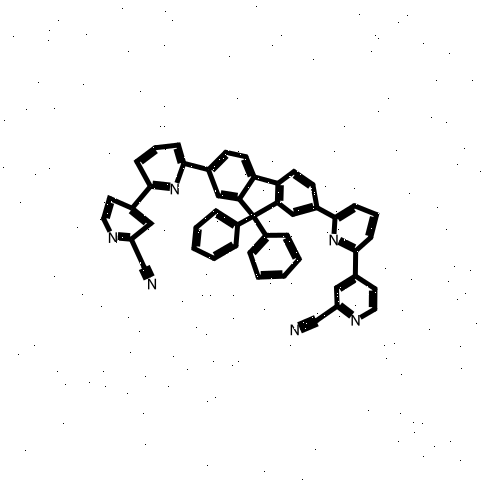 N#Cc1cc(-c2cccc(-c3ccc4c(c3)C(c3ccccc3)(c3ccccc3)c3cc(-c5cccc(-c6ccnc(C#N)c6)n5)ccc3-4)n2)ccn1